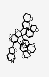 [c]1cc2c(cn1)OC(c1nnc3c(c1-c1cc4c(cn1)SCO4)C(c1ccc4c(c1)CCO4)(c1cc4c(nn1)OCCS4)C(c1cc4c(nn1)OCCC4)O3)C2